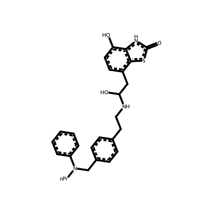 CCCN(Cc1ccc(CCNC(O)Cc2ccc(O)c3[nH]c(=O)sc23)cc1)c1ccccc1